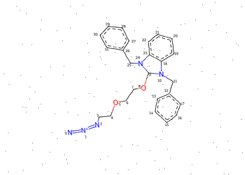 [N-]=[N+]=NCCOCCOC1N(Cc2ccccc2)c2ccccc2N1Cc1ccccc1